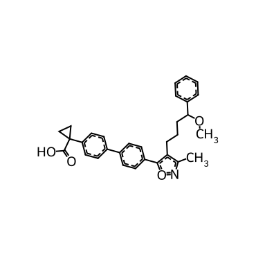 COC(CCCc1c(C)noc1-c1ccc(-c2ccc(C3(C(=O)O)CC3)cc2)cc1)c1ccccc1